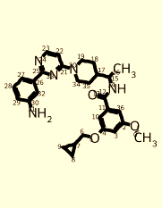 COc1cc(OCC2CC2)cc(C(=O)NC(C)C2CCN(c3ccnc(-c4cccc(N)c4)n3)CC2)c1